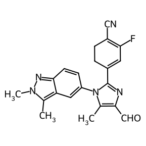 Cc1c2cc(-n3c(C4=CC(F)=C(C#N)CC4)nc(C=O)c3C)ccc2nn1C